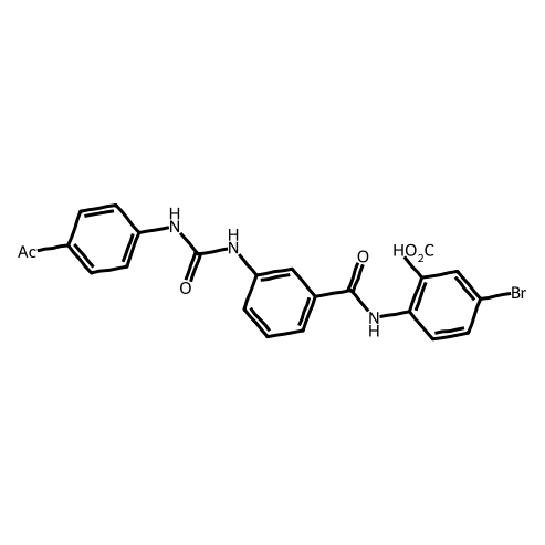 CC(=O)c1ccc(NC(=O)Nc2cccc(C(=O)Nc3ccc(Br)cc3C(=O)O)c2)cc1